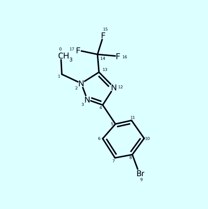 CCn1nc(-c2ccc(Br)cc2)nc1C(F)(F)F